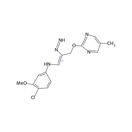 COc1cc(N/C=C(/COc2ncc(C)cn2)N=N)ccc1Cl